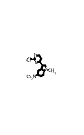 Cn1cc(-c2ccnc(Cl)n2)c2cc([N+](=O)[O-])ccc21